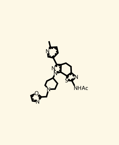 CC(=O)Nc1nc2c(s1)-c1c(c(-c3ccc(C)nc3)nn1C1CCN(Cc3ncco3)CC1)CC2